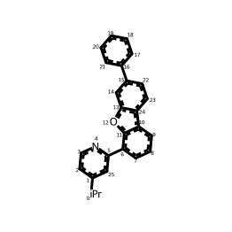 CC(C)c1ccnc(-c2cccc3c2oc2cc(-c4ccccc4)ccc23)c1